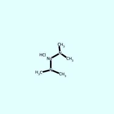 C[N](C)[Nd][N](C)C.Cl